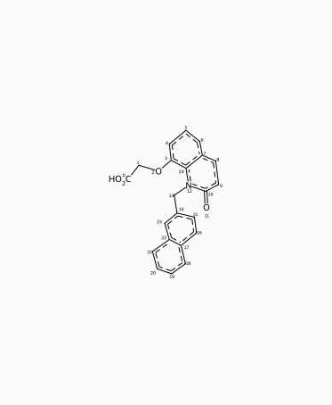 O=C(O)COc1cccc2ccc(=O)n(Cc3ccc4ccccc4c3)c12